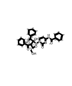 O=C(Nc1ccn(N2O[C@H](CO)[C@](O)(C(=O)c3ccccc3)[C@]2(O)C(=O)c2ccccc2)c(=O)n1)c1ccccc1